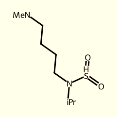 CNCCCCN(C(C)C)[SH](=O)=O